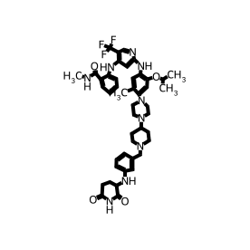 CNC(=O)c1ccccc1Nc1cc(Nc2cc(C)c(N3CCN(C4CCN(Cc5cccc(NC6CCC(=O)NC6=O)c5)CC4)CC3)cc2OC(C)C)ncc1C(F)(F)F